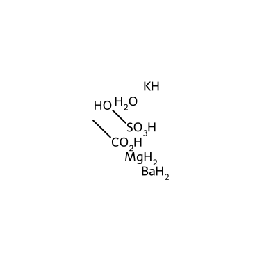 CC(=O)O.O.O=S(=O)(O)O.[BaH2].[KH].[MgH2]